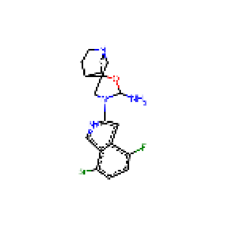 NC1OC2(CN3CCC2CC3)CN1c1cc2c(F)ccc(Br)c2cn1